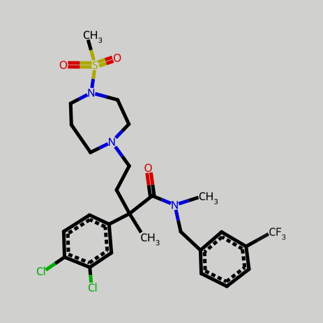 CN(Cc1cccc(C(F)(F)F)c1)C(=O)C(C)(CCN1CCCN(S(C)(=O)=O)CC1)c1ccc(Cl)c(Cl)c1